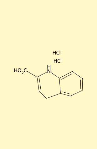 Cl.Cl.O=C(O)C1=CCc2ccccc2N1